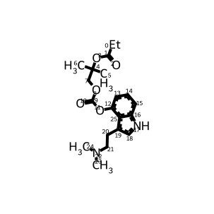 CCC(=O)OC(C)(C)COC(=O)Oc1cccc2[nH]cc(CCN(C)C)c12